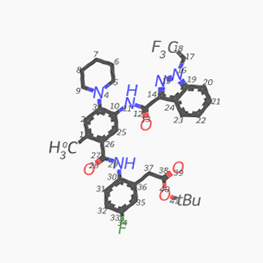 Cc1cc(N2CCCCC2)c(NC(=O)c2nn(CC(F)(F)F)c3ccccc23)cc1C(=O)Nc1ccc(F)cc1CC(=O)OC(C)(C)C